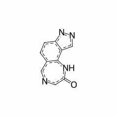 O=c1cncc2ccc3nncc3c2[nH]1